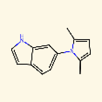 Cc1ccc(C)n1-c1ccc2cc[nH]c2c1